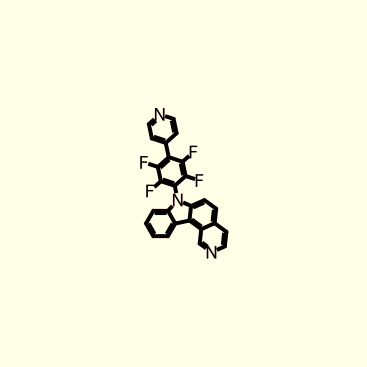 Fc1c(F)c(-n2c3ccccc3c3c4cnccc4ccc32)c(F)c(F)c1-c1ccncc1